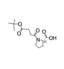 CC(C)(C)OC(=O)CCC(=O)N1CCC[C@H]1C(=O)O